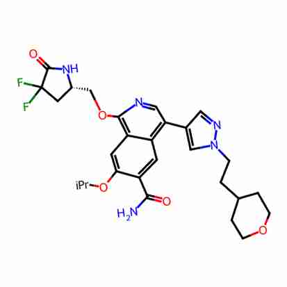 CC(C)Oc1cc2c(OC[C@@H]3CC(F)(F)C(=O)N3)ncc(-c3cnn(CCC4CCOCC4)c3)c2cc1C(N)=O